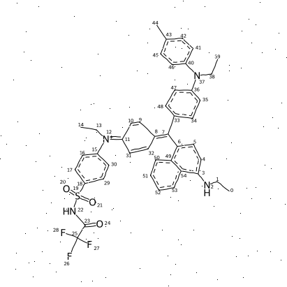 CCNc1ccc(C(=C2C=CC(=[N+](CC)c3ccc(S(=O)(=O)NC(=O)C(F)(F)F)cc3)C=C2)c2ccc(N(CC)c3ccc(C)cc3)cc2)c2ccccc12